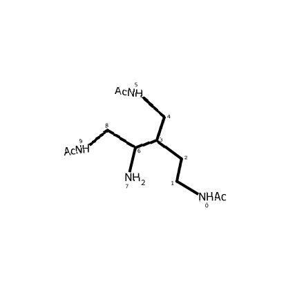 CC(=O)NCCC(CNC(C)=O)C(N)CNC(C)=O